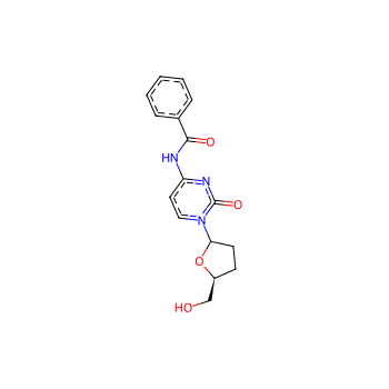 O=C(Nc1ccn(C2CC[C@@H](CO)O2)c(=O)n1)c1ccccc1